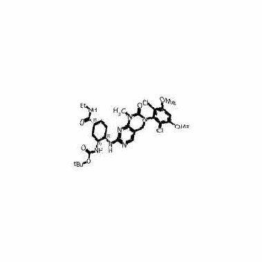 CCNC(=O)[C@@H]1CC[C@@H](Nc2ncc3c(n2)N(C)C(=O)N(c2c(Cl)c(OC)cc(OC)c2Cl)C3)[C@@H](NC(=O)OC(C)(C)C)C1